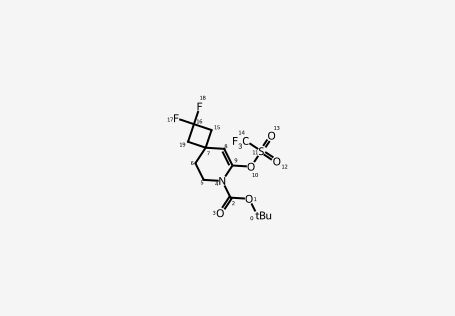 CC(C)(C)OC(=O)N1CCC2(C=C1OS(=O)(=O)C(F)(F)F)CC(F)(F)C2